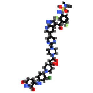 CCN(C)S(=O)(=O)Nc1ccc(F)c(C(=O)c2c[nH]c3ncc(-c4cnc(N5CCN(C(=O)CC6(O)CCN(c7ccc(N[C@@H]8CCC(=O)NC8=O)cc7Cl)CC6)CC5)nc4)cc23)c1F